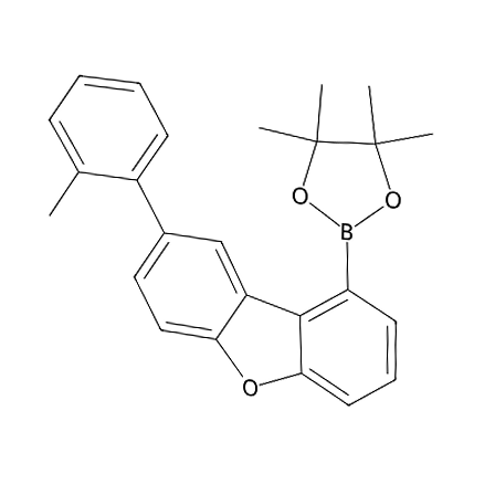 Cc1ccccc1-c1ccc2oc3cccc(B4OC(C)(C)C(C)(C)O4)c3c2c1